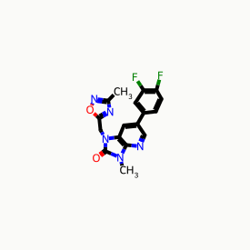 Cc1noc(Cn2c(=O)n(C)c3ncc(-c4ccc(F)c(F)c4)cc32)n1